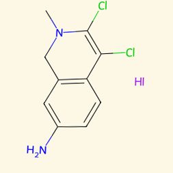 CN1Cc2cc(N)ccc2C(Cl)=C1Cl.I